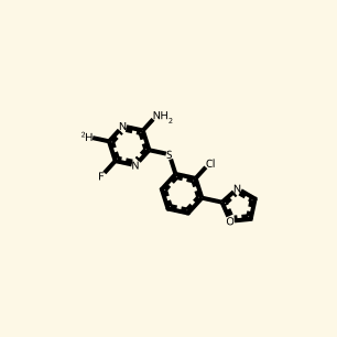 [2H]c1nc(N)c(Sc2cccc(-c3ncco3)c2Cl)nc1F